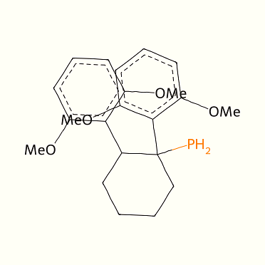 COc1cccc(OC)c1C1CCCCC1(P)c1c(OC)cccc1OC